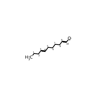 CCC/C=C/CCCC/C=C/[O]